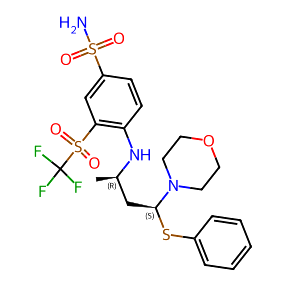 C[C@H](C[C@H](Sc1ccccc1)N1CCOCC1)Nc1ccc(S(N)(=O)=O)cc1S(=O)(=O)C(F)(F)F